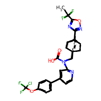 CC(F)(F)c1nc(C23CCC(CN(C(=O)O)c4cc(-c5ccc(OC(F)(F)Cl)cc5)ccn4)(CC2)CC3)no1